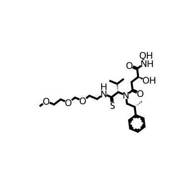 COCCOCOCCNC(=S)[C@H](C(C)C)N(C[C@H](C)c1ccccc1)C(=O)C[C@H](O)C(=O)NO